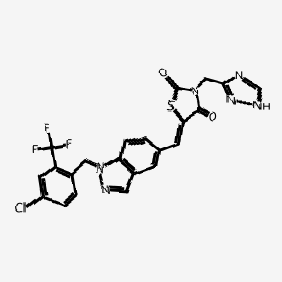 O=C1S/C(=C\c2ccc3c(cnn3Cc3ccc(Cl)cc3C(F)(F)F)c2)C(=O)N1Cc1nc[nH]n1